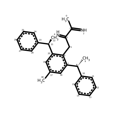 CC(=N)C(=N)Cc1c([C@H](C)c2ccccc2)cc(C)cc1[C@H](C)c1ccccc1